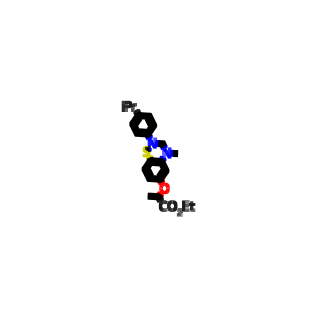 CCOC(=O)C(C)Oc1ccc2c(c1)N(C)CN(c1ccc(C(C)C)cc1)S2